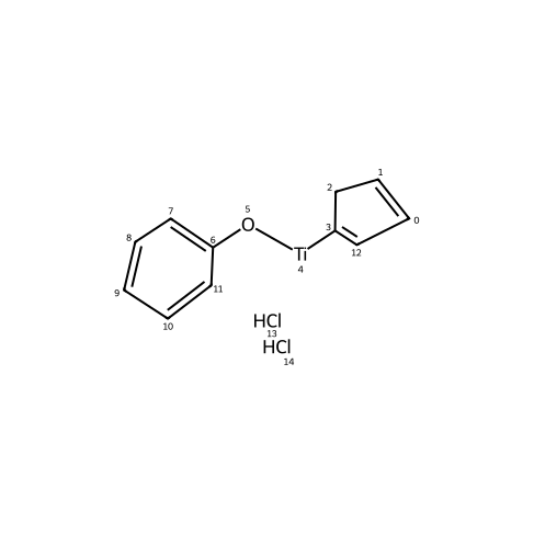 C1=CC[C]([Ti][O]c2ccccc2)=C1.Cl.Cl